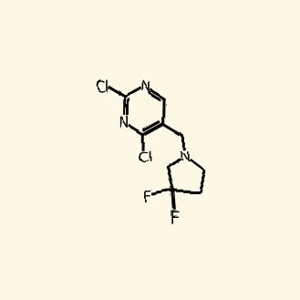 FC1(F)CCN(Cc2cnc(Cl)nc2Cl)C1